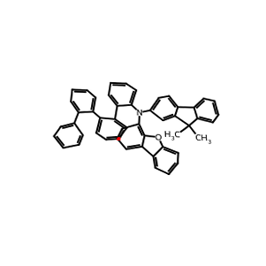 CC1(C)c2ccccc2-c2ccc(N(c3ccccc3-c3ccccc3-c3ccccc3-c3ccccc3)c3cccc4c3oc3ccccc34)cc21